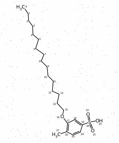 CCCCCCCCCCCCCCCCOc1cc(S(=O)(=O)O)ccc1C